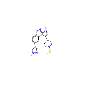 CSN1CCC(c2c[nH]c3ncc4ccc(-c5cnn(C)c5)cc4c23)CC1